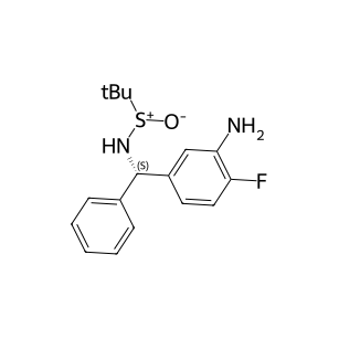 CC(C)(C)[S+]([O-])N[C@@H](c1ccccc1)c1ccc(F)c(N)c1